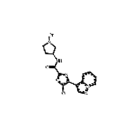 CC(C)N1CC[C@H](NC(=O)c2nc(-c3cnn4ccccc34)c(Cl)s2)C1